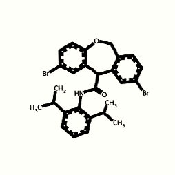 CC(C)c1cccc(C(C)C)c1NC(=O)C1c2cc(Br)ccc2COc2ccc(Br)cc21